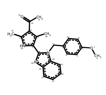 COc1ccc(Cn2c(-c3[nH]c(C)c(C(C)=O)c3C)nc3ccccc32)cc1